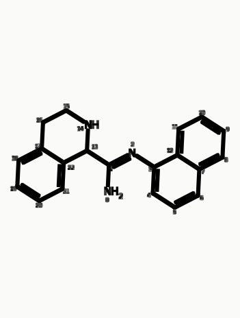 NC(=Nc1cccc2ccccc12)C1NCCc2ccccc21